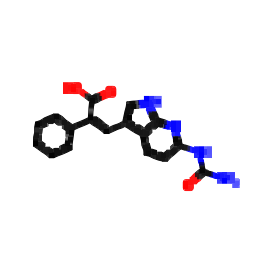 NC(=O)Nc1ccc2c(C=C(C(=O)O)c3ccccc3)c[nH]c2n1